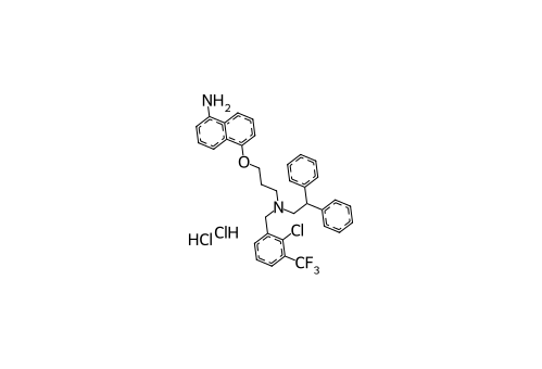 Cl.Cl.Nc1cccc2c(OCCCN(Cc3cccc(C(F)(F)F)c3Cl)CC(c3ccccc3)c3ccccc3)cccc12